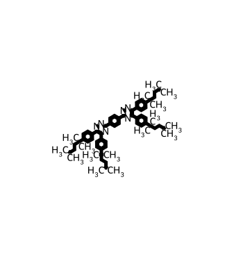 CC(C)CCC(C)(C)c1ccc(-c2nnc(-c3ccc(-c4nnc(-c5ccc(C(C)(C)CCC(C)C)cc5)c(-c5ccc(C(C)(C)CCC(C)C)cc5)n4)cc3)nc2-c2ccc(C(C)(C)CCC(C)C)cc2)cc1